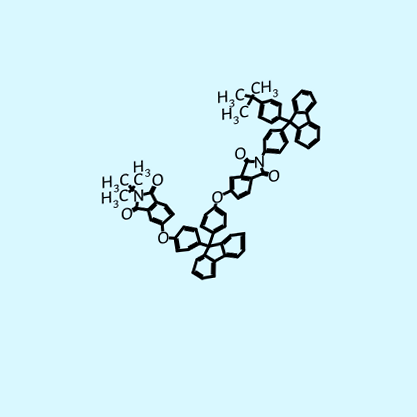 CC(C)(C)c1ccc(C2(c3ccc(N4C(=O)c5ccc(Oc6ccc(C7(c8ccc(Oc9ccc%10c(c9)C(=O)N(C(C)(C)C)C%10=O)cc8)c8ccccc8-c8ccccc87)cc6)cc5C4=O)cc3)c3ccccc3-c3ccccc32)cc1